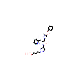 O=C(N[C@@H](Cc1cc(F)cc(F)c1)[C@H](O)[C@H]1C[C@@H](OCc2ccccc2)CN1)C1CC(=O)N(CCCCCO)C1